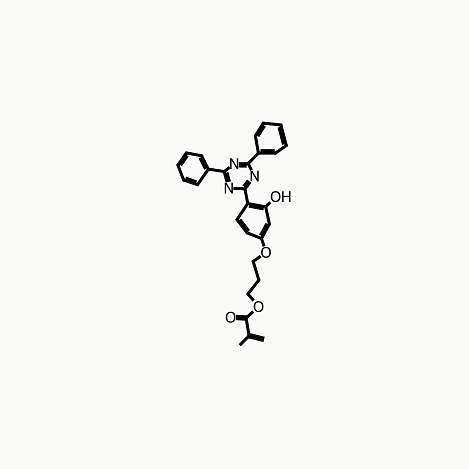 C=C(C)C(=O)OCCCOc1ccc(-c2nc(-c3ccccc3)nc(-c3ccccc3)n2)c(O)c1